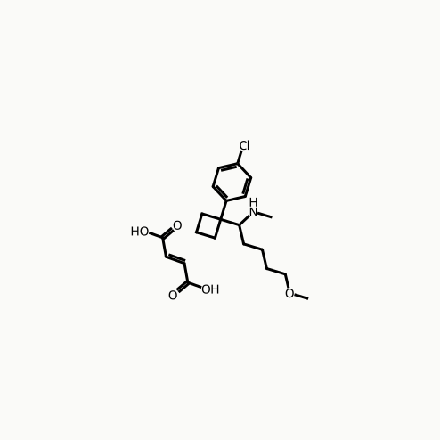 CNC(CCCCOC)C1(c2ccc(Cl)cc2)CCC1.O=C(O)C=CC(=O)O